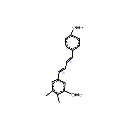 COc1ccc(/C=C/C=C/c2cc(C)c(C)c(OC)c2)cc1